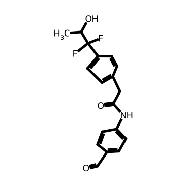 CC(O)C(F)(F)c1ccc(CC(=O)Nc2ccc(C=O)cc2)cc1